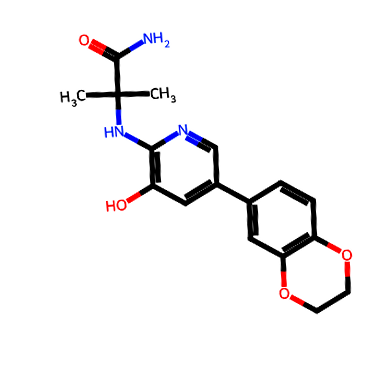 CC(C)(Nc1ncc(-c2ccc3c(c2)OCCO3)cc1O)C(N)=O